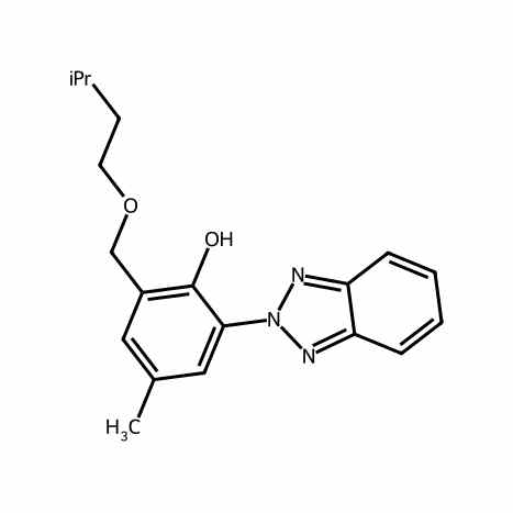 Cc1cc(COCCC(C)C)c(O)c(-n2nc3ccccc3n2)c1